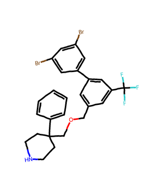 FC(F)(F)c1cc(COCC2(c3ccccc3)CCNCC2)cc(-c2cc(Br)cc(Br)c2)c1